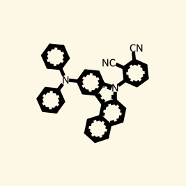 N#Cc1cccc(-n2c3ccc(N(c4ccccc4)c4ccccc4)cc3c3c4ccccc4ccc32)c1C#N